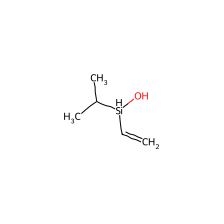 C=C[SiH](O)C(C)C